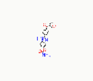 NC(=O)Oc1ccc2[nH]c(-c3ccc(C(=O)c4ccoc4)cc3)nc2c1